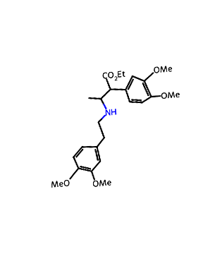 CCOC(=O)C(c1ccc(OC)c(OC)c1)C(C)NCCc1ccc(OC)c(OC)c1